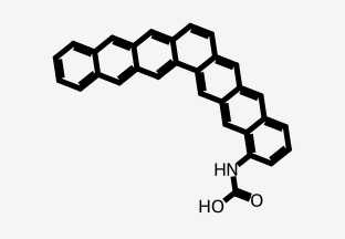 O=C(O)Nc1cccc2cc3cc4ccc5cc6cc7ccccc7cc6cc5c4cc3cc12